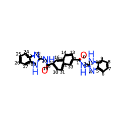 O=C(Nc1nc2ccccc2[nH]1)c1ccc2cc(C(=O)Nc3nc4ccccc4[nH]3)ccc2c1